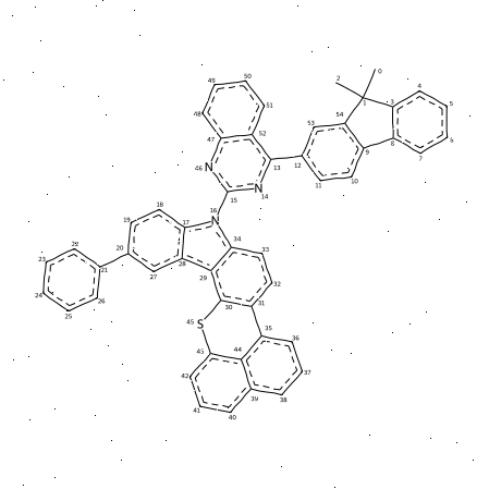 CC1(C)c2ccccc2-c2ccc(-c3nc(-n4c5ccc(-c6ccccc6)cc5c5c6c(ccc54)-c4cccc5cccc(c45)S6)nc4ccccc34)cc21